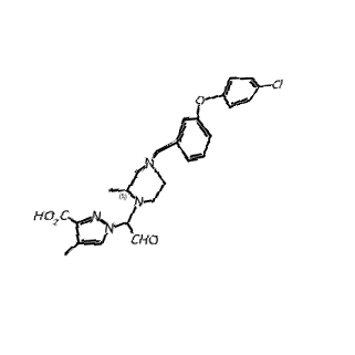 Cc1cn(C(C=O)N2CCN(Cc3cccc(Oc4ccc(Cl)cc4)c3)C[C@@H]2C)nc1C(=O)O